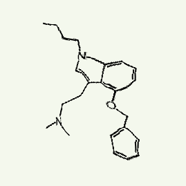 CCCCn1cc(CCN(C)C)c2c(OCc3ccccc3)cccc21